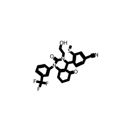 CSc1cc(C#N)ccc1C1C2=C(CCCC2=O)N(c2cccc(C(F)(F)F)c2)C(=O)N1CCO